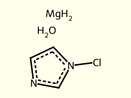 Cln1ccnc1.O.[MgH2]